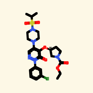 CCOC(=O)N1CC[C@@H](Oc2c(N3CCN(S(=O)(=O)C(C)C)CC3)cnn(-c3cccc(Cl)c3)c2=O)C1